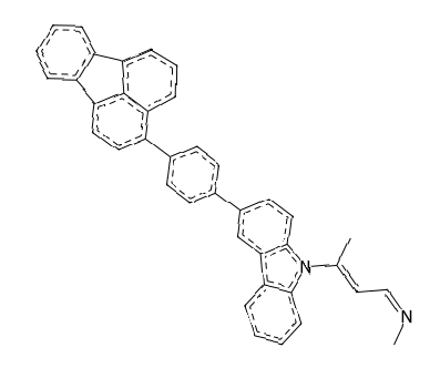 C/N=C\C=C(/C)n1c2ccccc2c2cc(-c3ccc(-c4ccc5c6c(cccc46)-c4ccccc4-5)cc3)ccc21